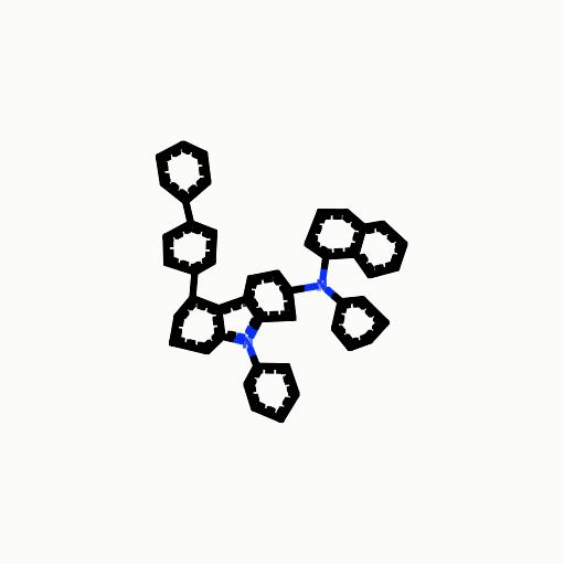 c1ccc(-c2ccc(-c3cccc4c3c3ccc(N(c5ccccc5)c5cccc6ccccc56)cc3n4-c3ccccc3)cc2)cc1